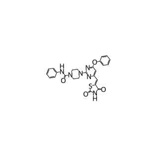 O=C1NC(=O)C(=Cc2cc(Oc3ccccc3)nc(N3CCN(C(=O)Nc4ccccc4)CC3)n2)S1